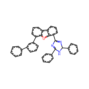 c1ccc(C2=NC(c3cccc4c3oc3c(-c5cccc(-c6ccccc6)c5)cccc34)=NC(c3ccccc3)N2)cc1